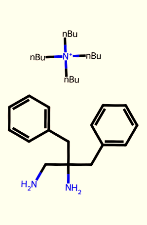 CCCC[N+](CCCC)(CCCC)CCCC.NCC(N)(Cc1ccccc1)Cc1ccccc1